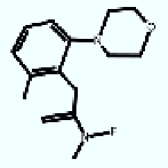 C=C(Cc1c(C)cccc1N1CCOCC1)N(C)F